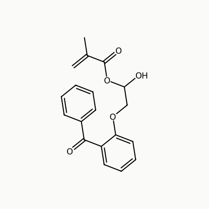 C=C(C)C(=O)OC(O)COc1ccccc1C(=O)c1ccccc1